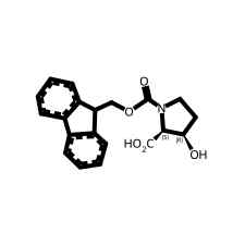 O=C(O)[C@@H]1[C@H](O)CCN1C(=O)OCC1c2ccccc2-c2ccccc21